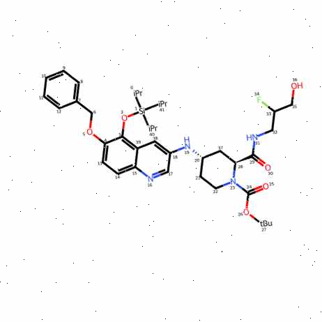 CC(C)[Si](Oc1c(OCc2ccccc2)ccc2ncc(N[C@H]3CCN(C(=O)OC(C)(C)C)[C@H](C(=O)NCC(F)CO)C3)cc12)(C(C)C)C(C)C